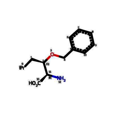 CC(C)C[C@@H](OCc1ccccc1)[C@@H](N)C(=O)O